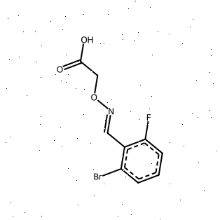 O=C(O)CO/N=C/c1c(F)cccc1Br